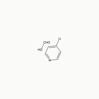 O=CO.[Li][c]1ccncc1